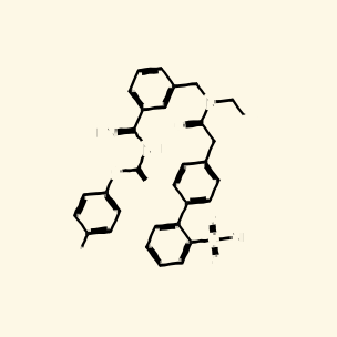 CC(C)CN(Cc1cccc(C(=N)NC(=O)Oc2ccc(F)cc2)c1)C(=O)Cc1ccc(-c2ccccc2S(N)(=O)=O)cc1